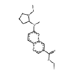 CCOC(=O)c1cnc2ccc(N(C)C3CCCN3CC)cc2c1